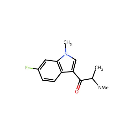 CNC(C)C(=O)c1cn(C)c2cc(F)ccc12